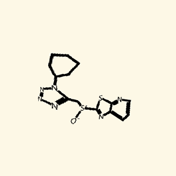 [O-][S+](Cc1nnnn1C1CCCCC1)c1nc2cccnc2s1